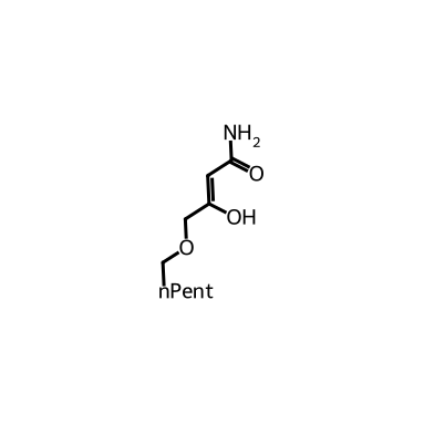 CCCCCCOCC(O)=CC(N)=O